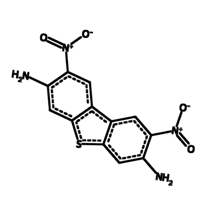 Nc1cc2sc3cc(N)c([N+](=O)[O-])cc3c2cc1[N+](=O)[O-]